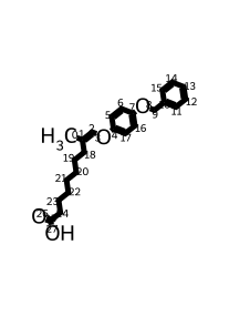 CC(=COc1ccc(OCc2ccccc2)cc1)CCCCCCCC(=O)O